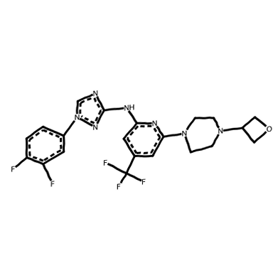 Fc1ccc(-n2cnc(Nc3cc(C(F)(F)F)cc(N4CCN(C5COC5)CC4)n3)n2)cc1F